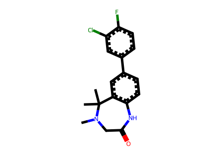 CN1CC(=O)Nc2ccc(-c3ccc(F)c(Cl)c3)cc2C1(C)C